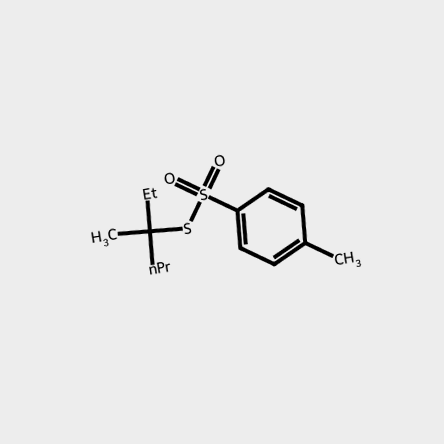 CCCC(C)(CC)SS(=O)(=O)c1ccc(C)cc1